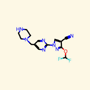 N#Cc1cn(-c2ncc(CN3CCNCC3)cn2)nc1OC(F)F